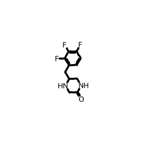 O=C1CNC(Cc2ccc(F)c(F)c2F)CN1